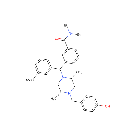 CCN(CC)C(=O)c1cccc(C(c2cccc(OC)c2)N2C[C@@H](C)N(Cc3ccc(O)cc3)C[C@H]2C)c1